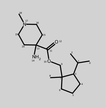 CC(C)C1CCCC1(C)COC(=O)C1(N)CCN(C)CC1